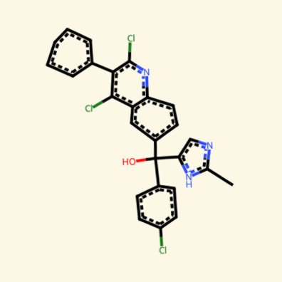 Cc1ncc(C(O)(c2ccc(Cl)cc2)c2ccc3nc(Cl)c(-c4ccccc4)c(Cl)c3c2)[nH]1